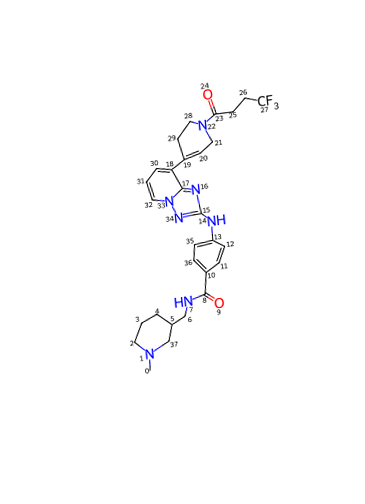 CN1CCCC(CNC(=O)c2ccc(Nc3nc4c(C5=CCN(C(=O)CCC(F)(F)F)CC5)cccn4n3)cc2)C1